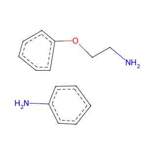 NCCOc1ccccc1.Nc1ccccc1